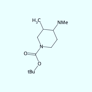 CNC1CCN(C(=O)OC(C)(C)C)CC1C